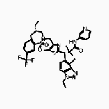 CC[C@H]1Cc2ccc(C(F)(F)F)cc2S(=O)(=O)N(Cc2nc([C@@H](c3ccc4c(nnn4CC)c3C)C(C)(C)C(=O)Nc3cccnc3)sc2C)C1